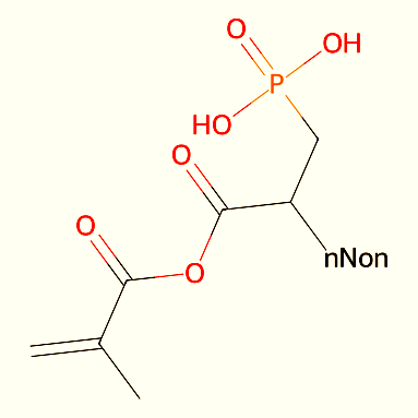 C=C(C)C(=O)OC(=O)C(CCCCCCCCC)CP(=O)(O)O